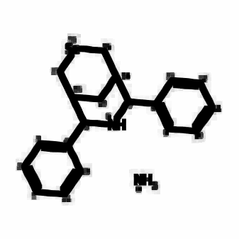 N.c1ccc(C2NC(c3ccccc3)C3C[Se]CC2C3)cc1